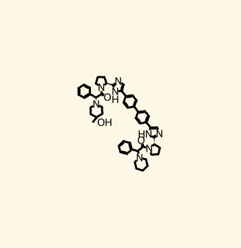 CC1(O)CCN([C@@H](C(=O)N2CCC[C@H]2c2ncc(-c3ccc(-c4ccc(-c5cnc([C@@H]6CCCN6C(=O)C(c6ccccc6)N6CCCCC6)[nH]5)cc4)cc3)[nH]2)c2ccccc2)CC1